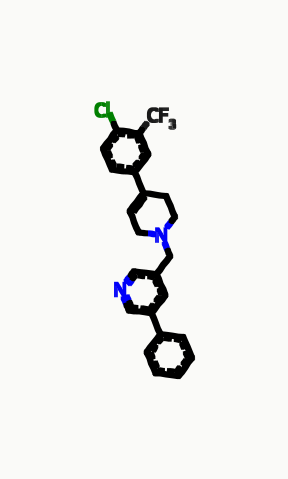 FC(F)(F)c1cc(C2=CCN(Cc3cncc(-c4ccccc4)c3)CC2)ccc1Cl